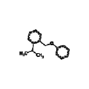 CC(C)c1ccccc1COc1ccccc1